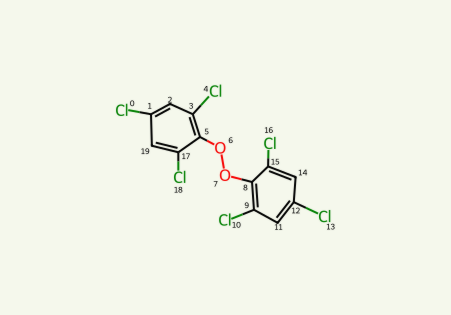 Clc1cc(Cl)c(OOc2c(Cl)cc(Cl)cc2Cl)c(Cl)c1